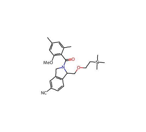 COc1cc(C)cc(C)c1C(=O)N1Cc2cc(C#N)ccc2C1COCC[Si](C)(C)C